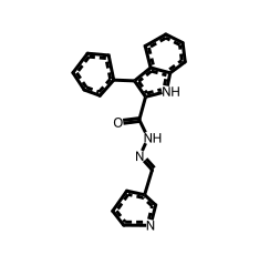 O=C(NN=Cc1cccnc1)c1[nH]c2ccccc2c1-c1ccccc1